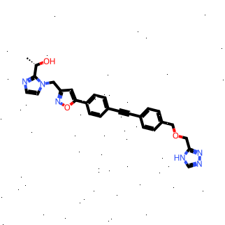 C[C@H](O)c1nccn1Cc1cc(-c2ccc(C#Cc3ccc(COCc4nnc[nH]4)cc3)cc2)on1